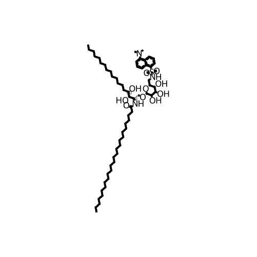 CCCCCCCCCCCCCCCCCCCCCCCCCC(=O)N[C@@H](COC1OC(CNS(=O)(=O)c2cccc3c(N(C)C)cccc23)C(O)C(O)C1O)C(O)[C@H](O)CCCCCCCCCCCCCC